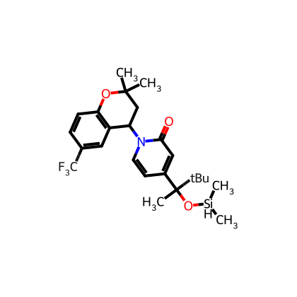 C[SiH](C)OC(C)(c1ccn(C2CC(C)(C)Oc3ccc(C(F)(F)F)cc32)c(=O)c1)C(C)(C)C